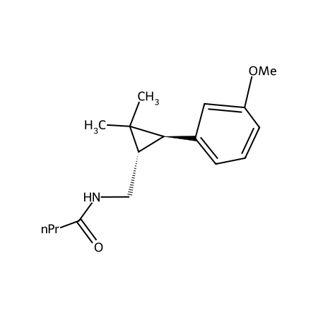 CCCC(=O)NC[C@H]1[C@H](c2cccc(OC)c2)C1(C)C